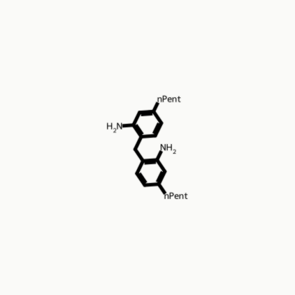 CCCCCc1ccc(Cc2ccc(CCCCC)cc2N)c(N)c1